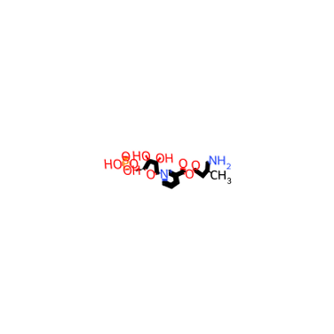 C[C@@H](CN)CC(=O)OC(=O)c1ccc[n+]([C@@H]2O[C@H](COP(=O)(O)O)[C@@H](O)[C@H]2O)c1